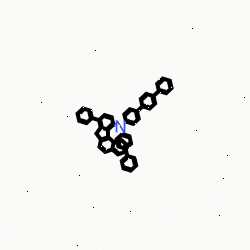 c1ccc(-c2ccc(-c3ccc(N(c4ccc(-c5ccccc5)cc4)c4ccc(-c5ccccc5)c5c4-c4c(ccc6ccccc46)C5)cc3)cc2)cc1